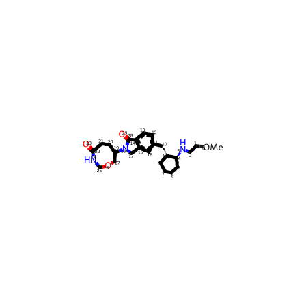 COCCN[C@H]1CCCC[C@@H]1Cc1ccc2c(c1)CN(C1CCC(=O)NCOC1)C2=O